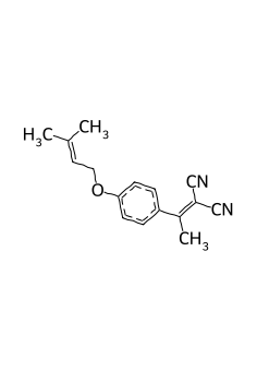 CC(C)=CCOc1ccc(C(C)=C(C#N)C#N)cc1